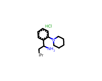 CC(C)CC(N)c1ccccc1N1CCCCC1.Cl